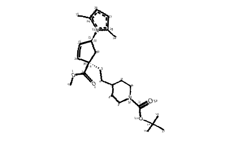 COC(=O)[C@@]1(CCC2CCN(C(=O)OC(C)(C)C)CC2)C=C[C@@H](n2c(C)ccc2C)C1